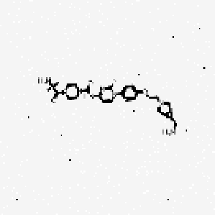 CC(C)(N)C(=O)N1CCN(C(=O)Nc2ccn(-c3ccc(OCCN4CC5C(CN)C5C4)cc3)c(=O)n2)CC1